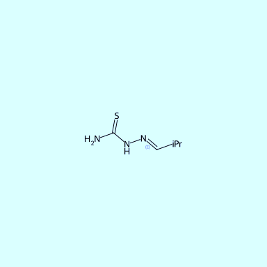 CC(C)/C=N/NC(N)=S